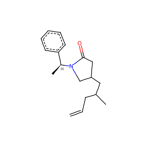 C=CCC(C)CC1CC(=O)N([C@@H](C)c2ccccc2)C1